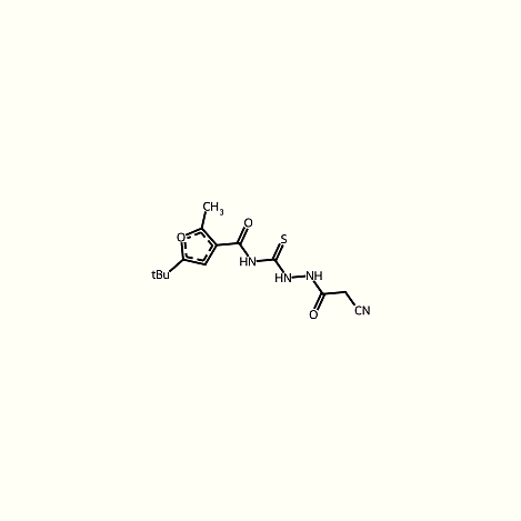 Cc1oc(C(C)(C)C)cc1C(=O)NC(=S)NNC(=O)CC#N